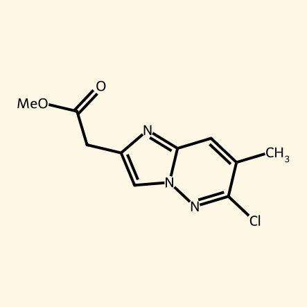 COC(=O)Cc1cn2nc(Cl)c(C)cc2n1